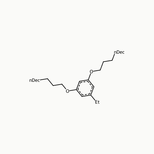 [CH2]Cc1cc(OCCCCCCCCCCCCC)cc(OCCCCCCCCCCCCC)c1